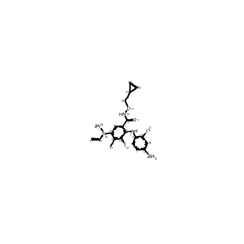 Bc1ccc(Nc2c(C(=O)NOCC3CC3)cc(N(C=C)C(C)C)c(C)c2F)c(Cl)c1